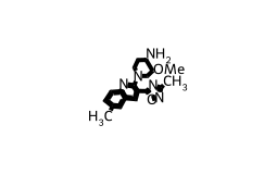 COC1CN(c2nc3ccc(C)cc3cc2-c2nc(C)no2)CCC1N